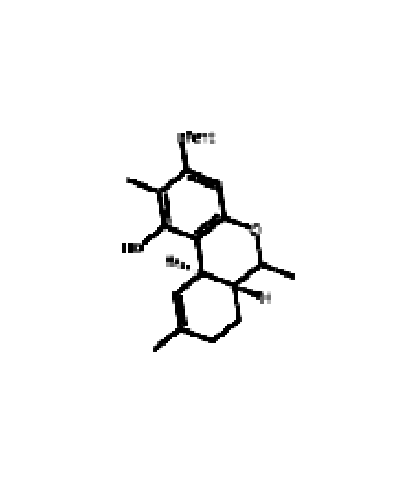 CCCCCc1cc2c(c(O)c1C)[C@@H]1C=C(C)CC[C@H]1C(C)O2